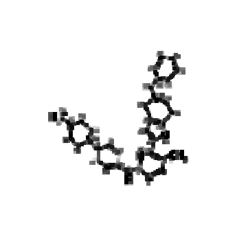 Cc1cnc(Nc2ccc(N3CCN(C)CC3)cc2)nc1-c1cc2c(o1)CCN(Cc1ccccc1)C2